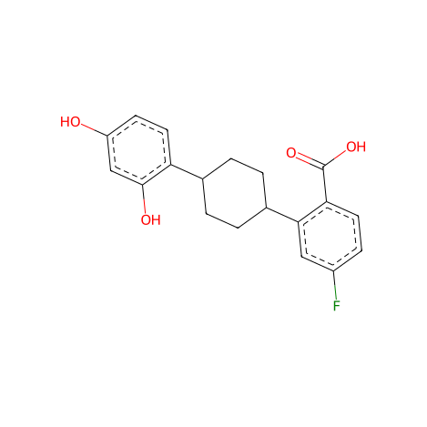 O=C(O)c1ccc(F)cc1C1CCC(c2ccc(O)cc2O)CC1